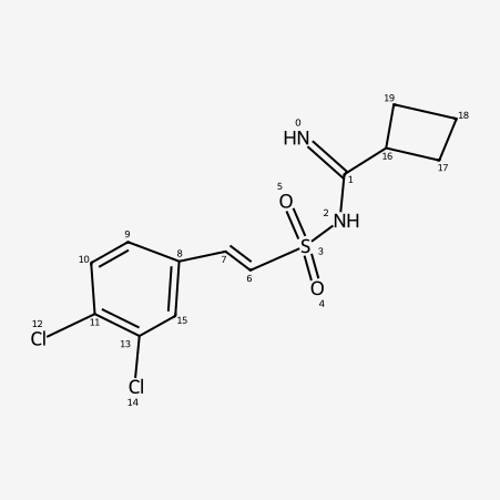 N=C(NS(=O)(=O)C=Cc1ccc(Cl)c(Cl)c1)C1CCC1